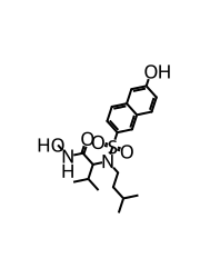 CC(C)CCN(C(C(=O)NO)C(C)C)S(=O)(=O)c1ccc2cc(O)ccc2c1